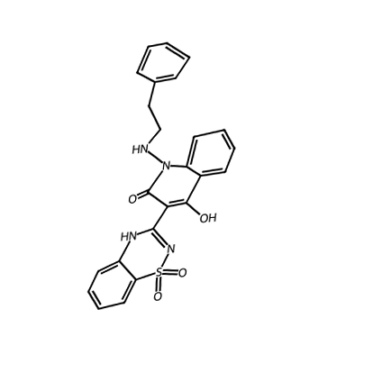 O=c1c(C2=NS(=O)(=O)c3ccccc3N2)c(O)c2ccccc2n1NCCc1ccccc1